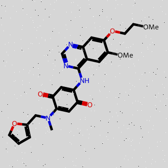 COCCOc1cc2ncnc(NC3=CC(=O)C(N(C)Cc4ccco4)=CC3=O)c2cc1OC